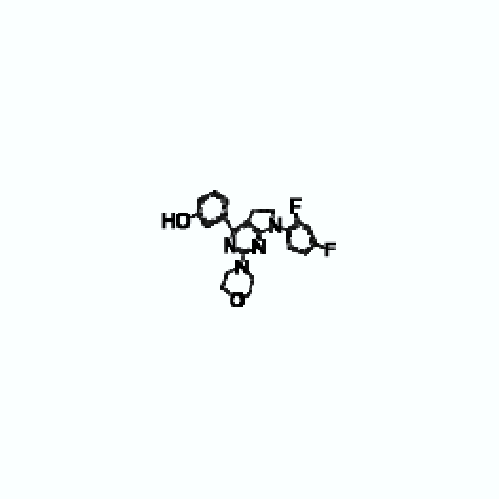 Oc1cccc(-c2nc(N3CCOCC3)nc3c2CCN3c2ccc(F)cc2F)c1